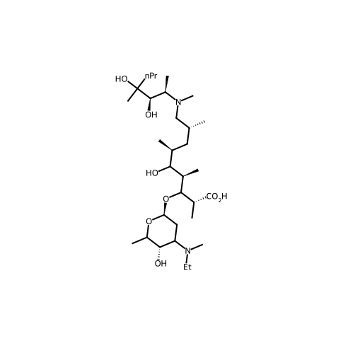 CCCC(C)(O)[C@H](O)[C@@H](C)N(C)C[C@H](C)C[C@H](C)C(O)[C@@H](C)C(O[C@H]1CC(N(C)CC)[C@H](O)C(C)O1)[C@@H](C)C(=O)O